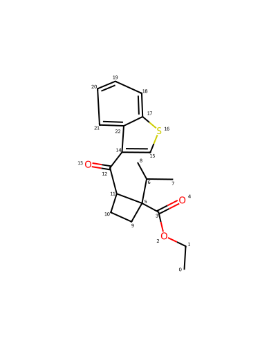 CCOC(=O)C1(C(C)C)CCC1C(=O)c1csc2ccccc12